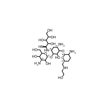 N=C(N[C@@H]1C[C@H](N)C(O[C@H]2O[C@H](CNCCO)CCC2N)C(O)C1O[C@H]1OC(CO)C(O)[C@H](N)C1O)C(O)C(O)C(O)CO